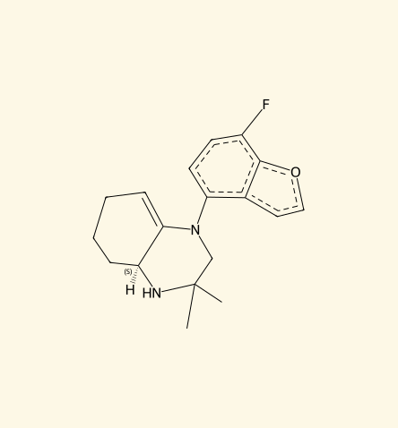 CC1(C)CN(c2ccc(F)c3occc23)C2=CCCC[C@@H]2N1